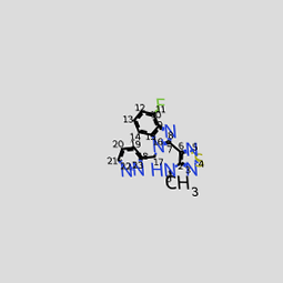 CNc1nsnc1-c1nc2c(F)cccc2n1Cc1cccnn1